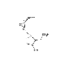 CCCCC[C@@H]1O[C@H]1C1C2CC(O)C(CC(=O)O)C21